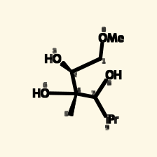 COC[C@H](O)[C@@](C)(O)C(O)C(C)C